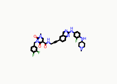 CN1CCC(Nc2ccc(Nc3ncc4cc(C#CCNC(=O)c5cn(C)c(=O)n(Cc6ccc(F)c(F)c6)c5=O)ccc4n3)cc2F)CC1